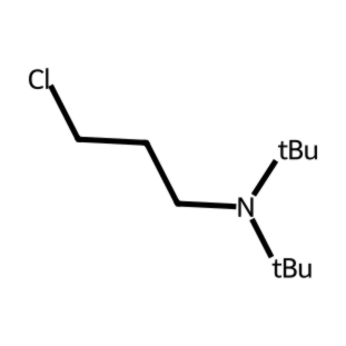 CC(C)(C)N(CCCCl)C(C)(C)C